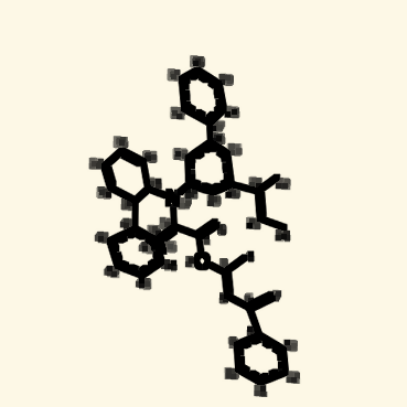 C=C(O/C(C)=C/C(=C)c1ccccc1)/C(=C\C)N(c1cc(/C(C)=C/C)cc(-c2ccccc2)c1)C1C=CC=CC1c1ccccc1